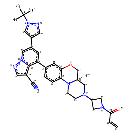 [2H]C([2H])([2H])n1cc(-c2cc(-c3ccc4c(c3)OC[C@H]3CN(C5CN(C(=O)C=C)C5)CCN43)c3c(C#N)cnn3c2)cn1